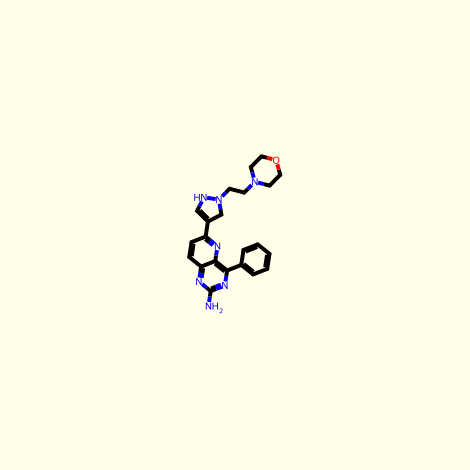 Nc1nc(-c2ccccc2)c2nc(C3=CNN(CCN4CCOCC4)C3)ccc2n1